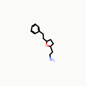 NCCC1CCC(CCc2ccccc2)O1